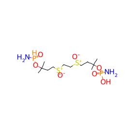 CC(C)(CC[S+]([O-])CC[S+]([O-])CCC(C)(C)OP(N)(=O)O)O[PH](N)=O